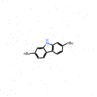 CCCCc1ccc2c(c1)[nH]c1cc(CCCC)ccc12